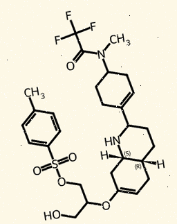 Cc1ccc(S(=O)(=O)OCC(CO)OC2=CC[C@H]3CCC(C4=CCC(N(C)C(=O)C(F)(F)F)CC4)N[C@H]3C2)cc1